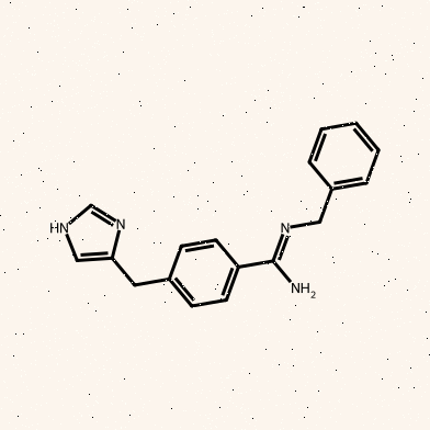 NC(=NCc1ccccc1)c1ccc(Cc2c[nH]cn2)cc1